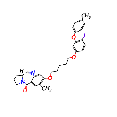 Cc1ccc(Oc2cc(OCCCCCOc3cc4c(cc3C)C(=O)N3CCC[C@H]3C=N4)ccc2I)cc1